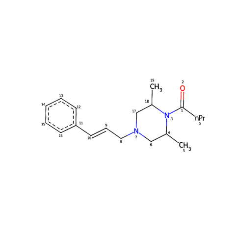 CCCC(=O)N1C(C)CN(CC=Cc2ccccc2)CC1C